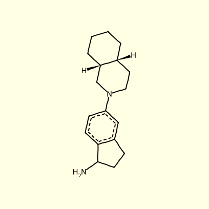 NC1CCc2cc(N3CC[C@H]4CCCC[C@H]4C3)ccc21